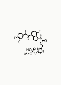 COP(=O)(O)On1cnc(COC(=O)NC2CCc3c(C(=O)Nc4ccc(F)c(Cl)c4)ccc(F)c32)n1